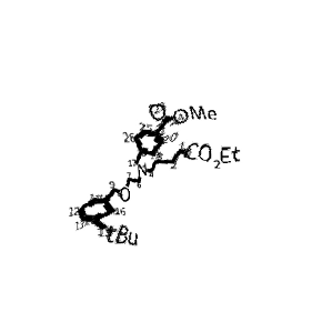 CCOC(=O)CCCCN(CCOCc1cccc(C(C)(C)C)c1)Cc1ccc(C(=O)OC)cc1